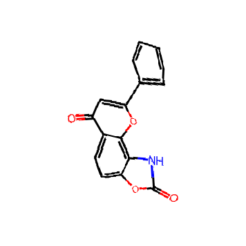 O=c1[nH]c2c(ccc3c(=O)cc(-c4ccccc4)oc32)o1